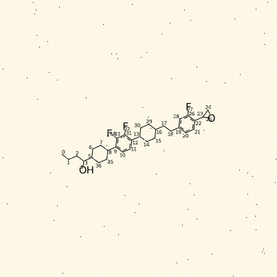 CCCC(O)C1CCC(c2ccc(C3CCC(CCc4ccc(C5CO5)c(F)c4)CC3)c(F)c2F)CC1